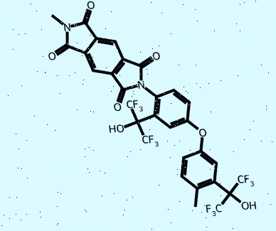 Cc1ccc(Oc2ccc(-n3c(=O)c4cc5c(=O)n(C)c(=O)c5cc4c3=O)c(C(O)(C(F)(F)F)C(F)(F)F)c2)cc1C(O)(C(F)(F)F)C(F)(F)F